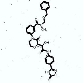 CN(COCc1ccccc1)C(=O)c1cccc(N2CCO[C@H]([C@@H](O)C(=O)Nc3ccc(-c4noc(=O)[nH]4)cc3)C2=O)c1